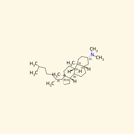 CC(C)CCC[C@@H](C)[C@H]1CC[C@H]2[C@@H]3CC[C@H]4C[C@@H](N(C)C)CC[C@]4(C)[C@H]3CC[C@]12C